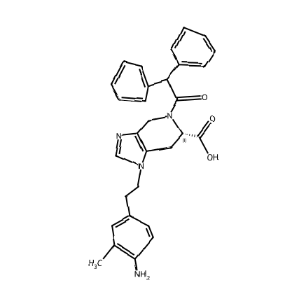 Cc1cc(CCn2cnc3c2C[C@@H](C(=O)O)N(C(=O)C(c2ccccc2)c2ccccc2)C3)ccc1N